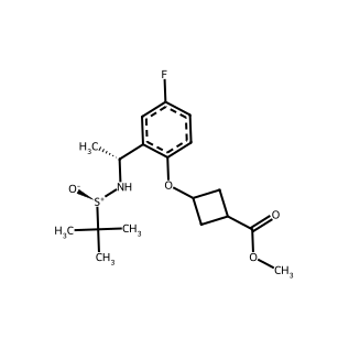 COC(=O)C1CC(Oc2ccc(F)cc2[C@@H](C)N[S@+]([O-])C(C)(C)C)C1